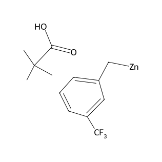 CC(C)(C)C(=O)O.FC(F)(F)c1cccc([CH2][Zn])c1